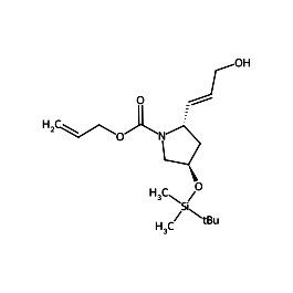 C=CCOC(=O)N1C[C@H](O[Si](C)(C)C(C)(C)C)C[C@H]1C=CCO